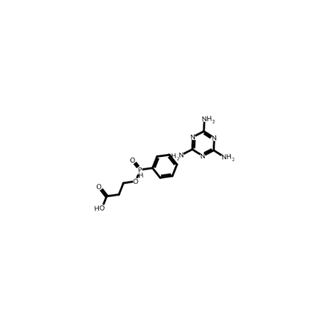 Nc1nc(N)nc(N)n1.O=C(O)CCO[PH](=O)c1ccccc1